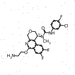 CN(C(=O)Nc1ccc(F)c(Cl)c1)[C@@H]1COCc2nc(OCCN)c3cc(F)c(F)cc3c21